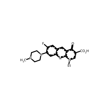 CCn1cc(C(=O)O)c(=O)c2cc3cc(F)c(N4CCN(C)CC4)cc3nc21